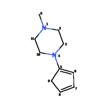 CN1CCN(C2=CC=CC2)CC1